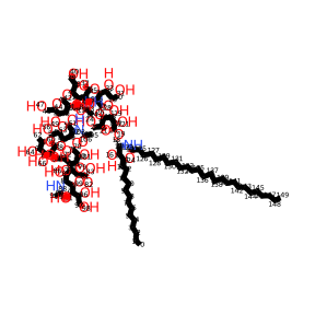 CCCCCCCCCCCCC/C=C/[C@@H](O)[C@H](CO[C@@H]1OC(CO)[C@@H](O[C@@H]2OC(CO)[C@H](O)[C@H](O[C@@H]3OC(CO)[C@@H](O[C@@H]4OC(CO)[C@H](O)[C@H](O[C@@H]5OC(CO)[C@@H](O[C@H]6OC(C)[C@@H](O)C(O)[C@@H]6O)[C@H](O[C@@H]6OC(CO)[C@H](O)[C@H](O[C@]7(C(=O)O)CC(O)[C@@H](NC(C)=O)C([C@H](O)[C@H](O)CO)O7)C6O)C5NC(C)=O)C4O)[C@H](O)C3NC(C)=O)C2O)[C@H](O)C1O)NC(=O)CCCCCCCCCCCCCCCCCCCCCCCCC